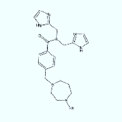 CCCN1CCCN(Cc2ccc(C(=O)N(Cc3ncc[nH]3)Cc3ncc[nH]3)cc2)CC1